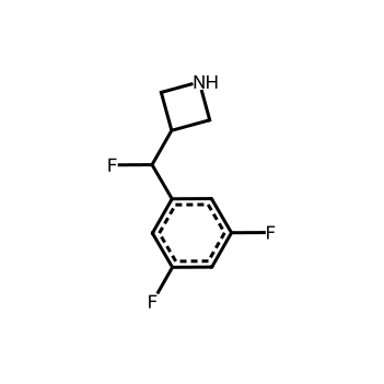 Fc1cc(F)cc(C(F)C2CNC2)c1